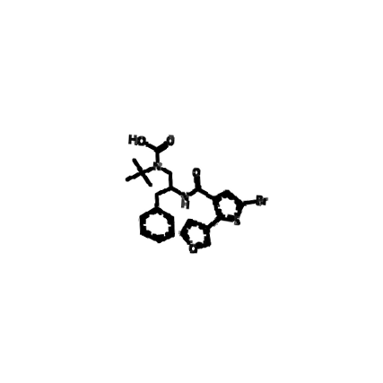 CC(C)(C)N(CC(Cc1ccccc1)NC(=O)c1cc(Br)sc1-c1ccoc1)C(=O)O